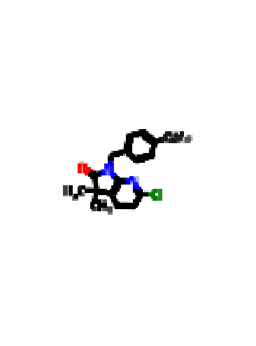 COc1ccc(CN2C(=O)C(C)(C)c3ccc(Cl)nc32)cc1